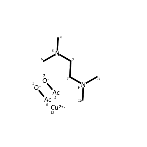 CC(=O)[O-].CC(=O)[O-].CN(C)CCN(C)C.[Cu+2]